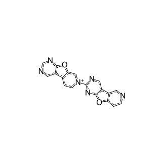 c1cc2oc3nc(-[n+]4ccc5c(c4)oc4ncncc45)ncc3c2cn1